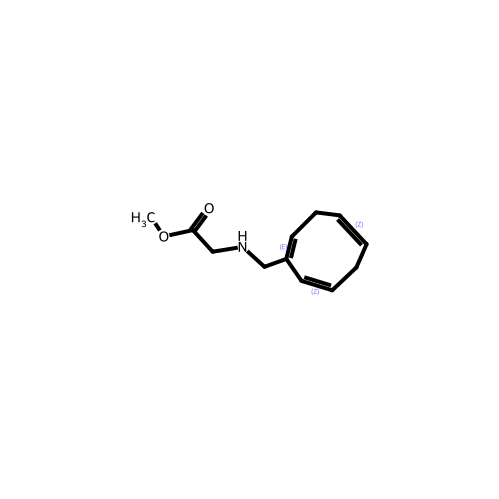 COC(=O)CNCC1=C/C/C=C\C/C=C\1